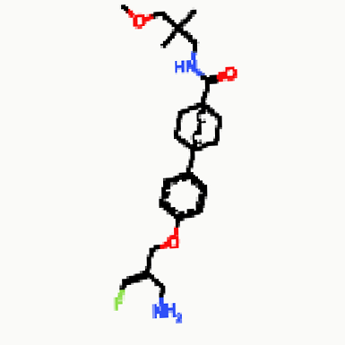 COCC(C)(C)CNC(=O)C12CCC(c3ccc(OC/C(=C/F)CN)cc3)(CC1)CC2